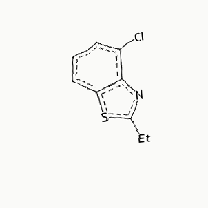 CCc1nc2c(Cl)cccc2s1